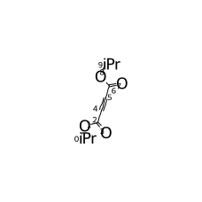 CC(C)OC(=O)C#CC(=O)OC(C)C